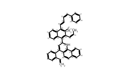 C=Cc1ccccc1C1=CC(c2c(/C=C\C)c(C)c(/C=C/C=C\c3ccccc3)c3ccccc23)Nc2c1ccc1ccccc21